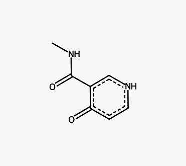 CNC(=O)c1c[nH]ccc1=O